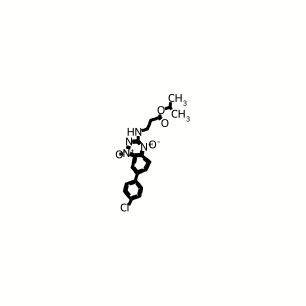 CC(C)OC(=O)CCNc1n[n+]([O-])c2cc(-c3ccc(Cl)cc3)ccc2[n+]1[O-]